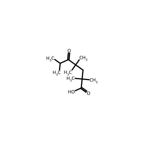 CC(C)C(=O)C(C)(C)CC(C)(C)C(=O)O